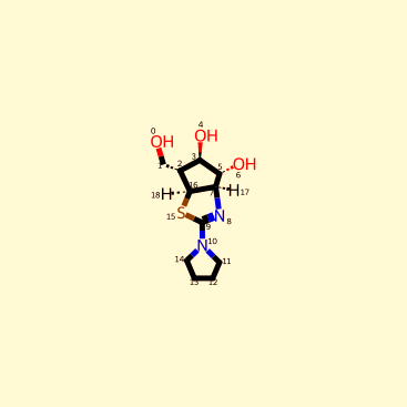 OC[C@@H]1[C@@H](O)[C@H](O)[C@H]2N=C(N3CCCC3)S[C@@H]12